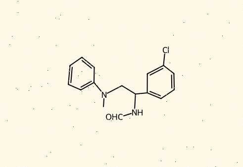 CN(CC(NC=O)c1cccc(Cl)c1)c1ccccc1